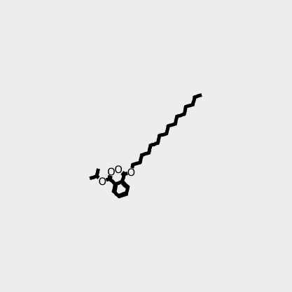 CCCCCCCCCCCCCCCCOC(=O)c1ccccc1C(=O)OC(C)C